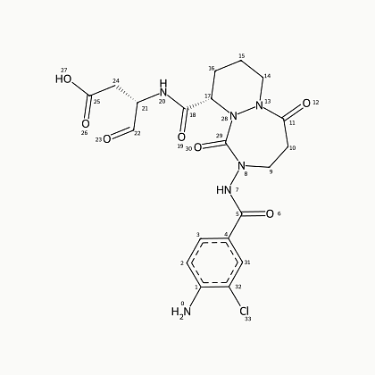 Nc1ccc(C(=O)NN2CCC(=O)N3CCC[C@@H](C(=O)N[C@H](C=O)CC(=O)O)N3C2=O)cc1Cl